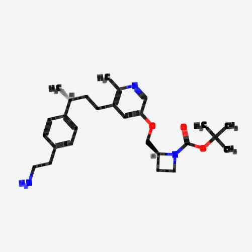 Cc1ncc(OC[C@@H]2CCN2C(=O)OC(C)(C)C)cc1CC[C@@H](C)c1ccc(CCN)cc1